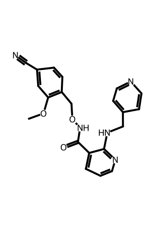 COc1cc(C#N)ccc1CONC(=O)c1cccnc1NCc1ccncc1